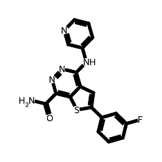 NC(=O)c1nnc(Nc2cccnc2)c2cc(-c3cccc(F)c3)sc12